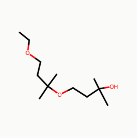 CCOCCC(C)(C)OCCC(C)(C)O